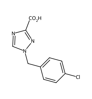 O=C(O)c1ncn(Cc2ccc(Cl)cc2)n1